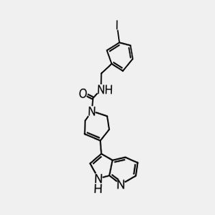 O=C(NCc1cccc(I)c1)N1CC=C(c2c[nH]c3ncccc23)CC1